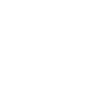 CC(C)(C)C/C=C\OC(=O)C(C)(C)C